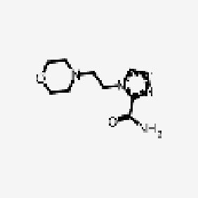 NC(=O)c1n[c]cn1CCN1CCOCC1